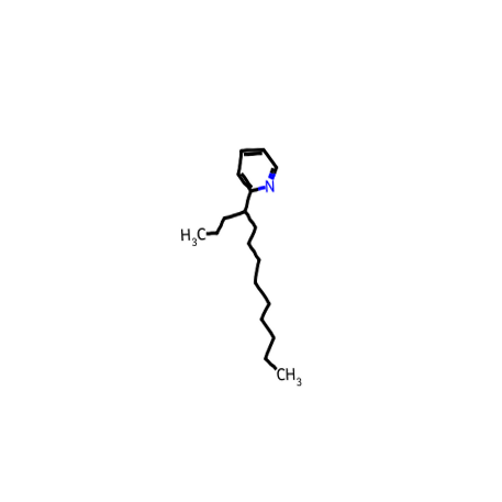 CCCCCCCCCC(CCC)c1ccccn1